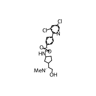 CN[C@@H](CO)C1CCC(NS(=O)(=O)c2ccc(-c3ncc(Cl)cc3Cl)cc2)C1